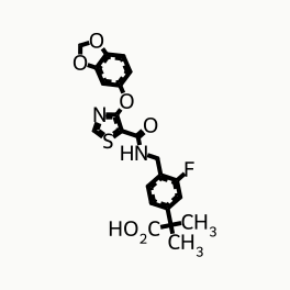 CC(C)(C(=O)O)c1ccc(CNC(=O)c2scnc2Oc2ccc3c(c2)OCO3)c(F)c1